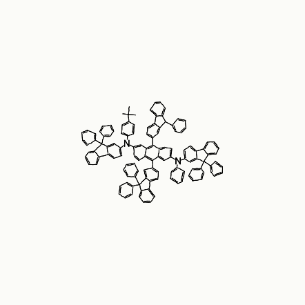 CC(C)(C)c1ccc(N(c2ccc3c(c2)C(c2ccccc2)(c2ccccc2)c2ccccc2-3)c2ccc3c(-c4ccc5c(c4)C(c4ccccc4)(c4ccccc4)c4ccccc4-5)c4cc(N(c5ccccc5)c5ccc6c(c5)C(c5ccccc5)(c5ccccc5)c5ccccc5-6)ccc4c(-c4ccc5c(c4)C(c4ccccc4)c4ccccc4-5)c3c2)cc1